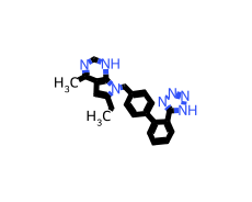 CCc1cc2c(n1Cc1ccc(-c3ccccc3-c3nnn[nH]3)cc1)NCN=C2C